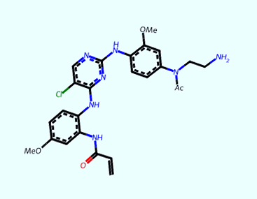 C=CC(=O)Nc1cc(OC)ccc1Nc1nc(Nc2ccc(N(CCN)C(C)=O)cc2OC)ncc1Cl